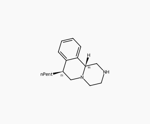 CCCCC[C@@H]1CN2CCNC[C@H]2c2ccccc21